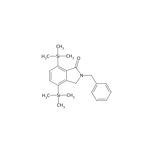 C[Si](C)(C)c1ccc([Si](C)(C)C)c2c1CN(Cc1ccccc1)C2=O